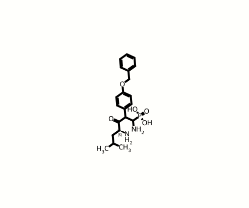 CC(C)C[C@H](N)C(=O)C(c1ccc(OCc2ccccc2)cc1)C(N)P(=O)(O)O